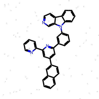 c1ccc(-c2cc(-c3ccc4ccccc4c3)cc(-c3cccc(-n4c5ccccc5c5ccncc54)c3)n2)nc1